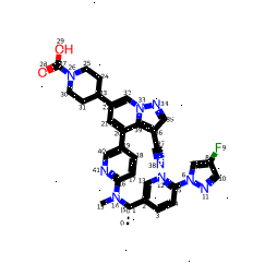 C[C@@H](c1ccc(-n2cc(F)cn2)nc1)N(C)c1ccc(-c2cc(C3CCN(C(=O)O)CC3)cn3ncc(C#N)c23)cn1